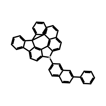 c1ccc(-c2ccc3ccc(-n4c5ccc6c7c5c5c8c(cccc8ccc54)C7(c4ccccc4)c4ccccc4-6)cc3c2)cc1